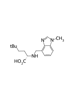 Cn1cnc2c(CN[C@@H](CCC(C)(C)C)C(=O)O)cccc21